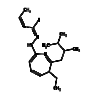 C/C=C\C(I)=N/NC1=CC=CC(CC)C(CC(C)C(C)C)=N1